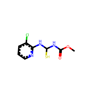 COC(=O)NC(S)Nc1ncccc1Cl